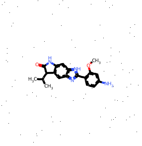 COc1cc(N)ccc1-c1nc2cc3c(cc2[nH]1)NC(=O)C3C(C)C